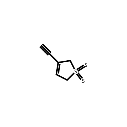 C#CC1=CCS(=S)(=S)C1